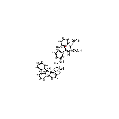 CSCC[C@H](NC(=O)c1cc(NC[C@H]2NCC[C@H]2SC(c2ccccc2)(c2ccccc2)c2ccccc2)ccc1Cc1ccccc1)C(=O)O